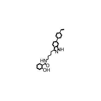 C=Cc1ccc(-c2ccc3c(CCCCNC(=O)c4ccccc4O)n[nH]c3c2)cc1